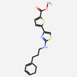 COC(=O)c1ccc(-c2csc(NCCCC3=CC=CCC3)n2)s1